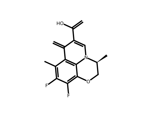 C=C(O)C1=CN2c3c(c(F)c(F)c(C)c3C1=C)OC[C@@H]2C